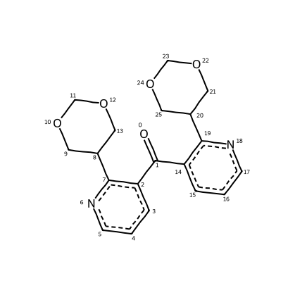 O=C(c1cccnc1C1COCOC1)c1cccnc1C1COCOC1